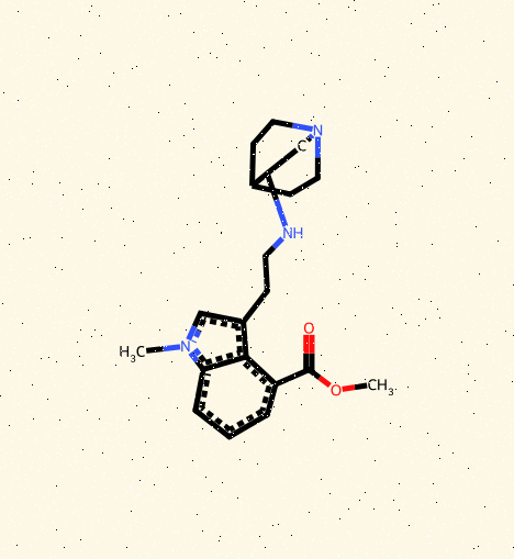 COC(=O)c1cccc2c1c(CCNC1CN3CCC1CC3)cn2C